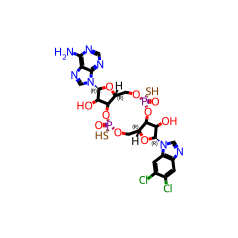 Nc1ncnc2c1ncn2[C@@H]1O[C@@H]2COP(=O)(S)OC3C(O)[C@H](n4cnc5cc(Cl)c(Cl)cc54)O[C@@H]3COP(=O)(S)OC2C1O